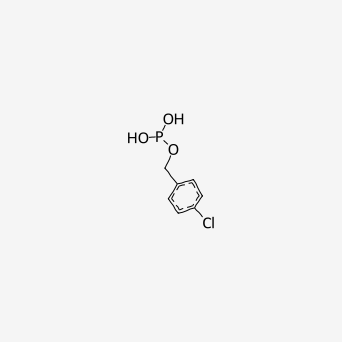 OP(O)OCc1ccc(Cl)cc1